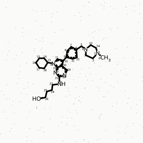 CN1CCN(Cc2ccc(-c3cn(C4CCCCC4)c4nc(NCCCCO)ncc34)cc2)CC1